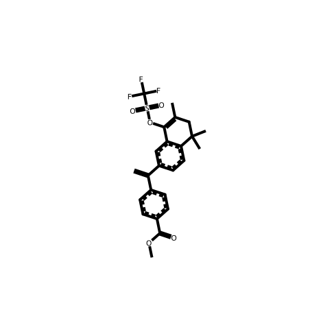 C=C(c1ccc(C(=O)OC)cc1)c1ccc2c(c1)C(OS(=O)(=O)C(F)(F)F)=C(C)CC2(C)C